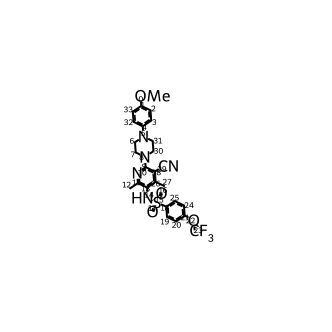 COc1ccc(N2CCN(c3nc(C)c(NS(=O)(=O)c4ccc(OC(F)(F)F)cc4)c(C)c3C#N)CC2)cc1